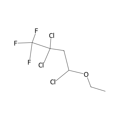 CCOC(Cl)CC(Cl)(Cl)C(F)(F)F